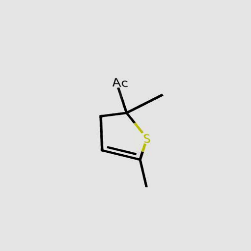 CC(=O)C1(C)CC=C(C)S1